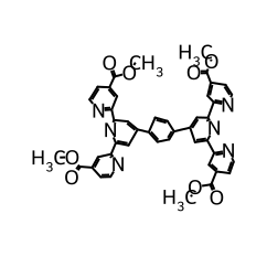 COC(=O)c1ccnc(-c2cc(-c3ccc(-c4cc(-c5cc(C(=O)OC)ccn5)nc(-c5cc(C(=O)OC)ccn5)c4)cc3)cc(-c3cc(C(=O)OC)ccn3)n2)c1